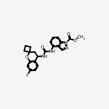 COC(=O)n1ncc2c(NC(=O)NC3CC4(CCC4)Oc4cc(F)ccc43)cccc21